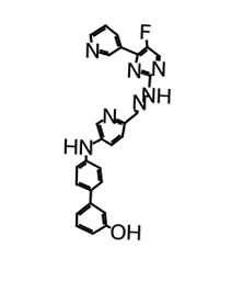 Oc1cccc(-c2ccc(Nc3ccc(/C=N/Nc4ncc(F)c(-c5cccnc5)n4)nc3)cc2)c1